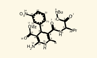 CCCCOC(=O)C(NC(=O)C1=C(C)NC(N)=C(C(=O)OC)C1c1cccc([N+](=O)[O-])c1)C(C)C